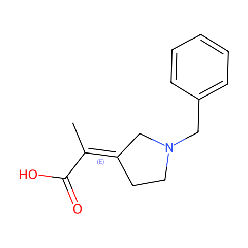 C/C(C(=O)O)=C1/CCN(Cc2ccccc2)C1